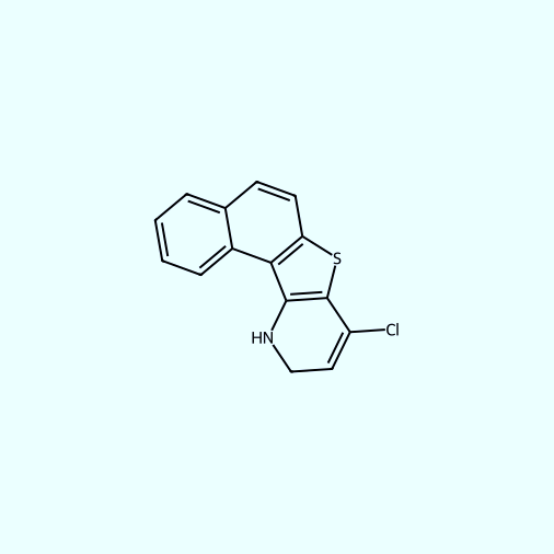 ClC1=CCNc2c1sc1ccc3ccccc3c21